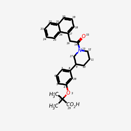 CC(C)(Oc1cccc(C2CCCN(C(=O)Cc3cccc4ccccc34)C2)c1)C(=O)O